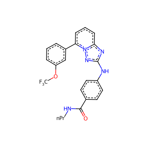 CCCNC(=O)c1ccc(Nc2nc3cccc(-c4cccc(OC(F)(F)F)c4)n3n2)cc1